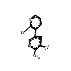 Cc1ncc(-c2cccnc2Cl)cc1Cl